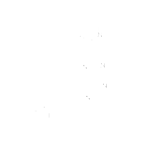 CC1C(=O)NCCC1Nc1ncc(-c2ccc(C(F)(F)F)cc2)c2nccnc12